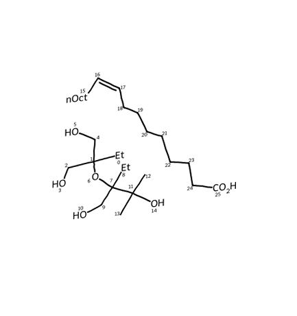 CCC(CO)(CO)OC(CC)(CO)C(C)(C)O.CCCCCCCC/C=C\CCCCCCCC(=O)O